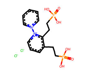 O=P(O)(O)CCc1ccc[n+](-[n+]2ccccc2)c1CCP(=O)(O)O.[Cl-].[Cl-]